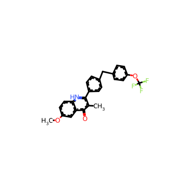 COc1ccc2[nH]c(-c3ccc(Cc4ccc(OC(F)(F)F)cc4)cc3)c(C)c(=O)c2c1